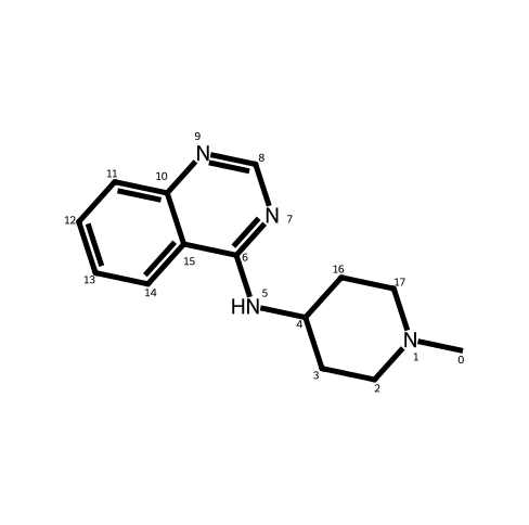 CN1CCC(Nc2ncnc3ccccc23)CC1